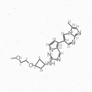 COCCO[C@H]1C[C@@H](Nc2ncc3c(-c4cnc5ncc(C)n5c4)ccn3n2)C1